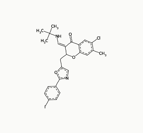 Cc1cc2c(cc1Cl)C(=O)/C(=C\NC(C)(C)C)C(Cc1cnc(-c3ccc(I)cc3)o1)O2